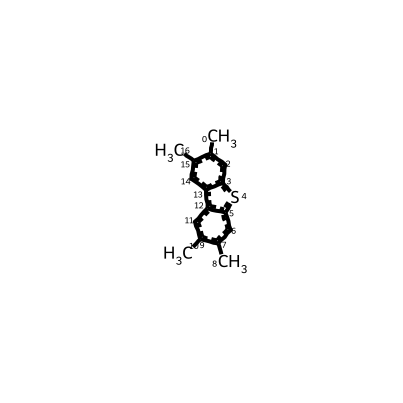 Cc1cc2sc3cc(C)c(C)cc3c2cc1C